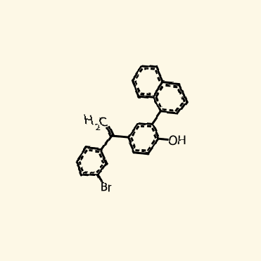 C=C(c1cccc(Br)c1)c1ccc(O)c(-c2cccc3ccccc23)c1